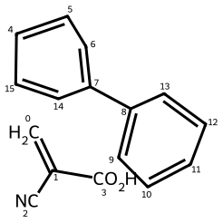 C=C(C#N)C(=O)O.c1ccc(-c2ccccc2)cc1